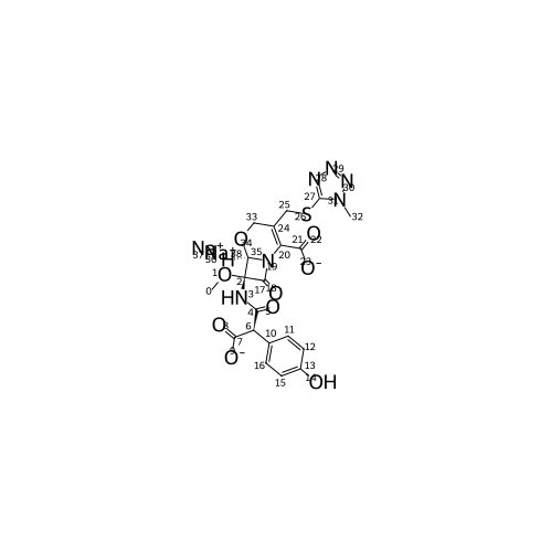 CO[C@@]1(NC(=O)[C@H](C(=O)[O-])c2ccc(O)cc2)C(=O)N2C(C(=O)[O-])=C(CSc3nnnn3C)CO[C@@H]21.[Na+].[Na+]